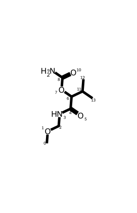 COCNC(=O)C(OC(N)=O)C(C)C